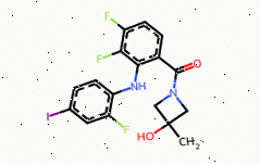 [CH2]C1(O)CN(C(=O)c2ccc(F)c(F)c2Nc2ccc(I)cc2F)C1